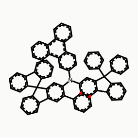 c1ccc(-c2cc3c(cc2N(c2ccc4c(c2)C(c2ccccc2)(c2ccccc2)c2ccccc2-4)c2ccc4c5ccccc5c5ccccc5c4c2)C2(c4ccccc4-c4ccccc42)c2ccccc2-3)cc1